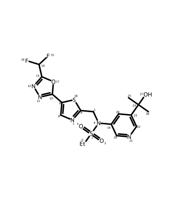 CCS(=O)(=O)N(Cc1ncc(-c2nnc(C(F)F)o2)s1)c1cncc(C(C)(C)O)c1